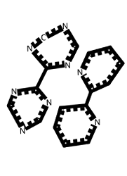 c1ccc(-c2ccccn2)nc1.c1ncnc(-c2ncncn2)n1